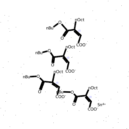 CCCCCCCC/C(=C/C(=O)[O-])C(=O)OCCCC.CCCCCCCC/C(=C/C(=O)[O-])C(=O)OCCCC.CCCCCCCC/C(=C/C(=O)[O-])C(=O)OCCCC.CCCCCCCC/C(=C/C(=O)[O-])C(=O)OCCCC.[Sn+4]